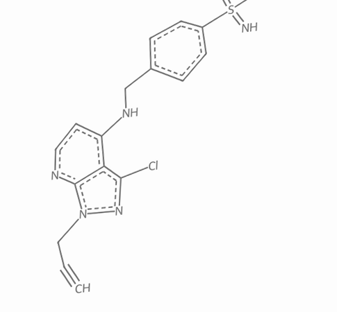 C#CCn1nc(Cl)c2c(NCc3ccc(S(=N)(N)=O)cc3)ccnc21